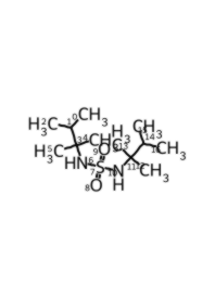 CC(C)C(C)(C)NS(=O)(=O)NC(C)(C)C(C)C